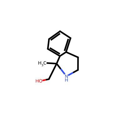 CC1(CO)NCCc2ccccc21